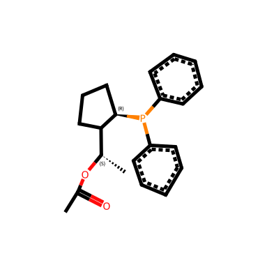 CC(=O)O[C@@H](C)C1CCC[C@H]1P(c1ccccc1)c1ccccc1